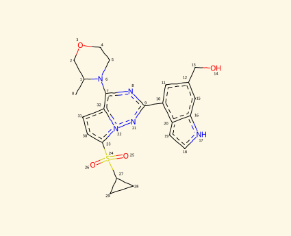 CC1COCCN1c1nc(-c2cc(CO)cc3[nH]ccc23)nn2c(S(=O)(=O)C3CC3)ccc12